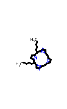 CCCCCc1c2nc(c(CCCCC)c3ccc(cc4nc(cc5ccc1[nH]5)C=C4)[nH]3)C=C2